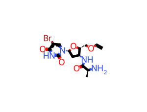 C=COC[C@H]1O[C@@H](n2cc(Br)c(=O)[nH]c2=O)C[C@@H]1NC(=O)[C@H](C)N